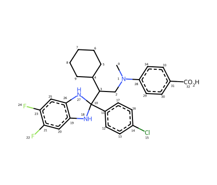 CN(CC(C1CCCCC1)C1(c2ccc(Cl)cc2)Nc2cc(F)c(F)cc2N1)c1ccc(C(=O)O)cc1